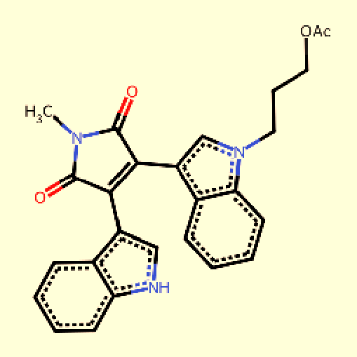 CC(=O)OCCCn1cc(C2=C(c3c[nH]c4ccccc34)C(=O)N(C)C2=O)c2ccccc21